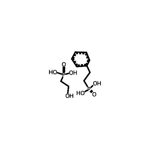 O=P(O)(O)CCO.O=P(O)(O)CCc1ccccc1